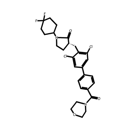 O=C(c1ccc(-c2cc(Cl)c(C[C@@H]3CCN(C4CCC(F)(F)CC4)C3=O)c(Cl)c2)cc1)N1CCOCC1